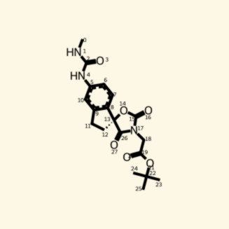 CNC(=O)Nc1ccc2c(c1)CC[C@@]21OC(=O)N(CC(=O)OC(C)(C)C)C1=O